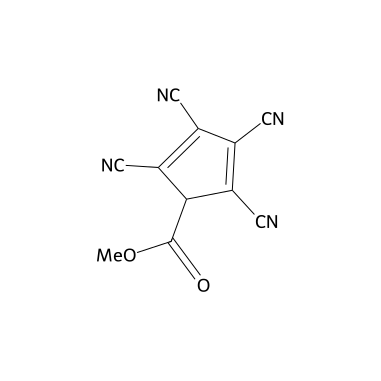 COC(=O)C1C(C#N)=C(C#N)C(C#N)=C1C#N